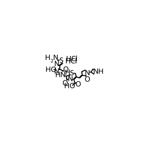 Cl.Cl.Nc1nc(C(=NO)C(=O)N[C@@H]2C(=O)N3C(C(=O)O)=C(C=C4CCN(C5CNC5)C4=O)CS[C@H]23)cs1